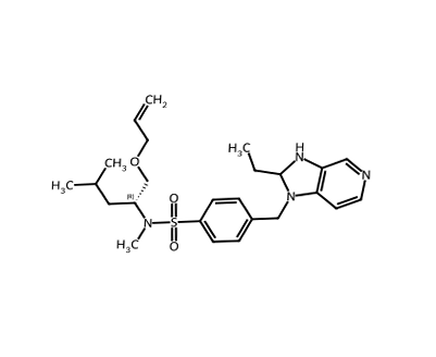 C=CCOC[C@@H](CC(C)C)N(C)S(=O)(=O)c1ccc(CN2c3ccncc3NC2CC)cc1